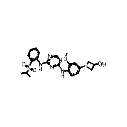 COc1cc(N2CC(O)C2)ccc1Nc1ncnc(Nc2ccccc2S(=O)(=O)C(C)C)n1